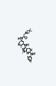 Cc1ncc(NC(=O)CN2CC(C)(C)C2)cc1Nc1nn(C)c2nc(Nc3cn(C)cn3)ncc12